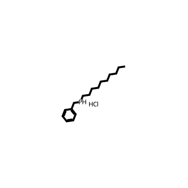 CCCCCCCCCCPCc1ccccc1.Cl